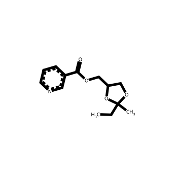 CCC1(C)OCC(COC(=O)c2cccnc2)O1